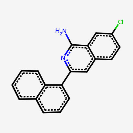 Nc1nc(-c2cccc3ccccc23)cc2ccc(Cl)cc12